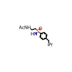 CC(=O)NCCS(=N)(=O)c1ccc(CC(C)C)cc1